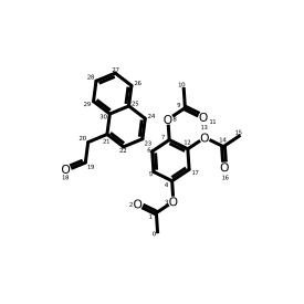 CC(=O)Oc1ccc(OC(C)=O)c(OC(C)=O)c1.O=CCc1cccc2ccccc12